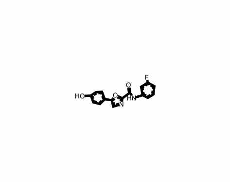 O=C(Nc1cccc(F)c1)c1ncc(-c2ccc(O)cc2)o1